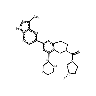 Cc1c[nH]c2ncc(-c3cc4c(c([C@@H]5COCCN5)c3)CN(C(=O)N3CC[C@H](F)C3)CC4)nc12